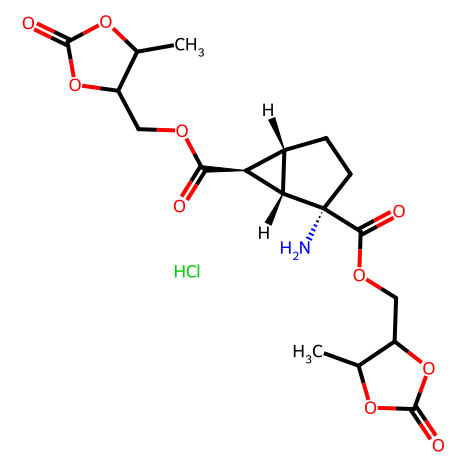 CC1OC(=O)OC1COC(=O)[C@H]1[C@@H]2CC[C@@](N)(C(=O)OCC3OC(=O)OC3C)[C@@H]21.Cl